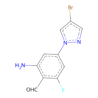 Nc1cc(-n2cc(Br)cn2)cc(F)c1C=O